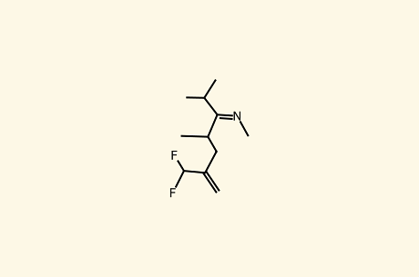 C=C(CC(C)/C(=N\C)C(C)C)C(F)F